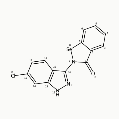 O=c1c2ccccc2[se]n1-c1n[nH]c2cc(Cl)ccc12